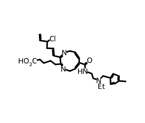 C=CC(Cl)C/C=C/C1=N/C/C=C\C(C(=O)NCCN(CC)Cc2ccc(C)cc2)=C/C/N=C\1CCCCC(=O)O